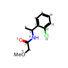 COCC(=O)NC(C)c1ccccc1Cl